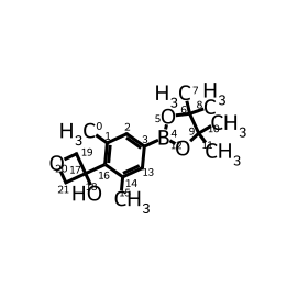 Cc1cc(B2OC(C)(C)C(C)(C)O2)cc(C)c1C1(O)COC1